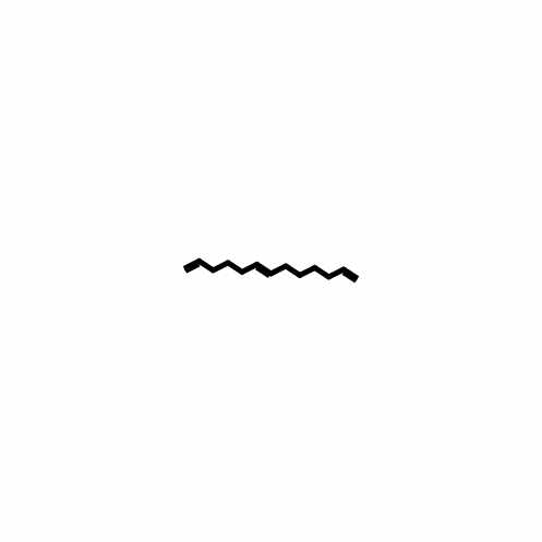 C=CCCCC=CCCCCC=C